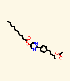 CCCCCCCC=CC(=O)Oc1cnc(-c2ccc(CCC(C)OC(C)=O)cc2)nc1